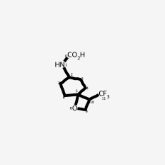 O=C(O)NC1CCC2(CC1)OCC2C(F)(F)F